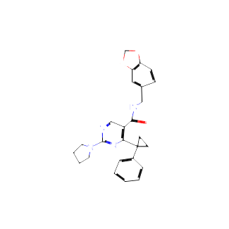 O=C(NCc1ccc2c(c1)OCO2)c1cnc(N2CCCC2)nc1C1(c2ccccc2)CC1